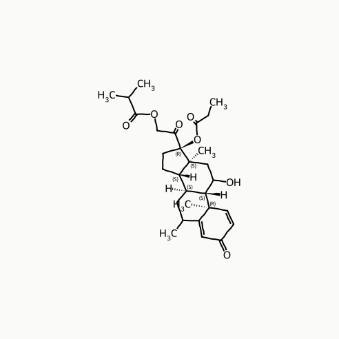 CCC(=O)O[C@]1(C(=O)COC(=O)C(C)C)CC[C@H]2[C@@H]3CC(C)C4=CC(=O)C=C[C@]4(C)[C@H]3C(O)C[C@@]21C